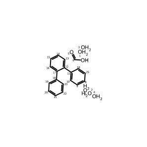 O.O.O.O.O.O=CO.c1ccc(-c2ccccc2-c2ccccc2)cc1